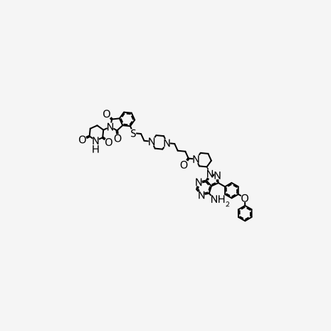 Nc1ncnc2c1c(-c1ccc(Oc3ccccc3)cc1)nn2[C@@H]1CCCN(C(=O)CCCN2CCN(CCSc3cccc4c3C(=O)N(C3CCC(=O)NC3=O)C4=O)CC2)C1